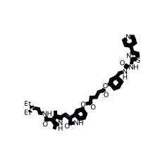 CCN(CC)CCNC(=O)c1c(C)[nH]c(/C=C2\C(=O)Nc3ccc(OC(=O)CCCC(=O)Oc4cccc(CNC(=O)Nc5nc(-c6ccncc6)cs5)c4)cc32)c1C